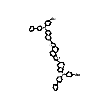 CC(C)(C)c1ccc(N(c2ccc(-c3ccccc3)cc2)c2ccc3cc(-c4cc5ccc6c(ccc7cc(-c8ccc9cc(N(c%10ccc(-c%11ccccc%11)cc%10)c%10ccc(C(C)(C)C)cc%10)ccc9c8)oc76)c5o4)ccc3c2)cc1